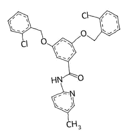 Cc1ccc(NC(=O)c2cc(OCc3ccccc3Cl)cc(OCc3ccccc3Cl)c2)nc1